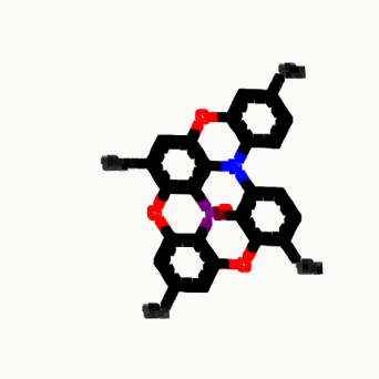 CC(C)(C)c1ccc2c(c1)Oc1cc(C(C)(C)C)c3c4c1N2c1ccc(C(C)(C)C)c2c1P4(=O)c1c(cc(C(C)(C)C)cc1O3)O2